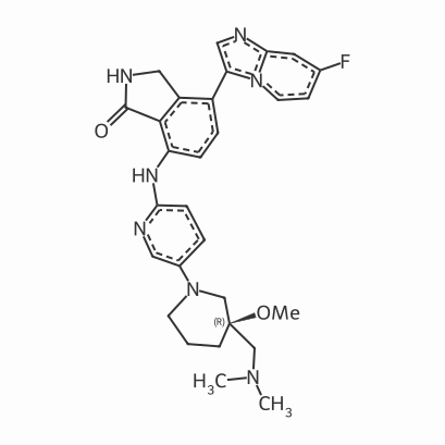 CO[C@@]1(CN(C)C)CCCN(c2ccc(Nc3ccc(-c4cnc5cc(F)ccn45)c4c3C(=O)NC4)nc2)C1